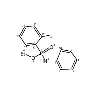 CCOP(=O)(Nc1ccccc1)c1ccccc1C